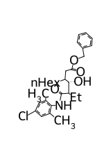 CCCCCCC(CC(=O)OCc1ccccc1)[C@H](O)C(CC)C(=O)Nc1c(C)cc(Cl)cc1C